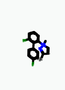 C[N+]1(c2cccc(F)c2-c2ccc(F)cc2)C=[C]C(C(F)(F)F)=N1